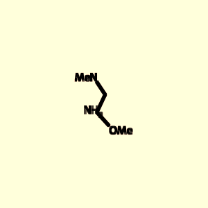 CNCCOC.N